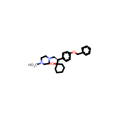 O=C(O)N1CCN(C[C@@H](c2ccc(OCc3ccccc3)cc2)C2(O)CCCCC2)CC1